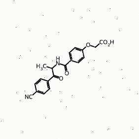 CC(NC(=O)c1ccc(OCC(=O)O)cc1)C(=O)c1ccc(C#N)cc1